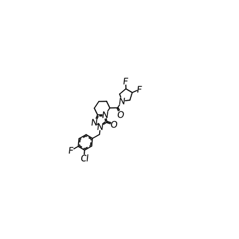 O=C(C1CCCc2nn(Cc3ccc(F)c(Cl)c3)c(=O)n21)N1CC(F)C(F)C1